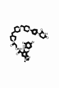 Cn1cnc2c(F)c(Nc3ccc(Br)cc3F)c(C(=O)NOCC(=O)N3CCC(CC4CCN(CC5CCN(c6ccc([C@@H]7CCC(=O)NC7=O)cc6)CC5)CC4)CC3)cc21